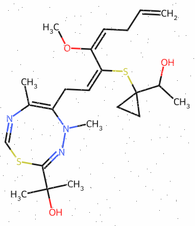 C=CC/C=C(OC)\C(=C/Cc1c(C)ncsc(C(C)(C)O)nn1C)SC1(C(C)O)CC1